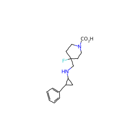 O=C(O)N1CCC(F)(CNC2CC2c2ccccc2)CC1